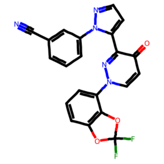 N#Cc1cccc(-n2nccc2-c2nn(-c3cccc4c3OC(F)(F)O4)ccc2=O)c1